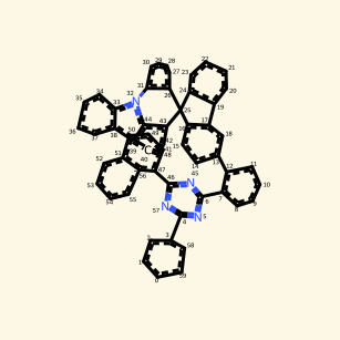 c1ccc(-c2nc(-c3ccccc3-c3ccc4c(c3)-c3ccccc3C43c4ccccc4-n4c5ccccc5c5cccc3c54)nc(-c3cccc4ccccc34)n2)cc1